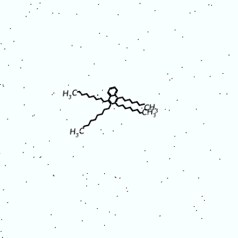 CCCCCCCCCc1c(CCCCCCCC)c(CCCCCCCC)c2ccccc2c1CCCCCCCCC